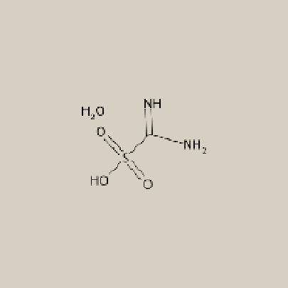 N=C(N)S(=O)(=O)O.O